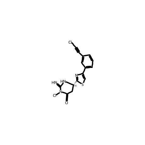 N=C1N[C@H](c2nc(-c3cccc(C#CCl)c3)cs2)CC(=O)N1Cl